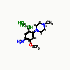 CN1CCN(c2ccc(N)c(OC(F)(F)F)c2)CC1.Cl.Cl.Cl